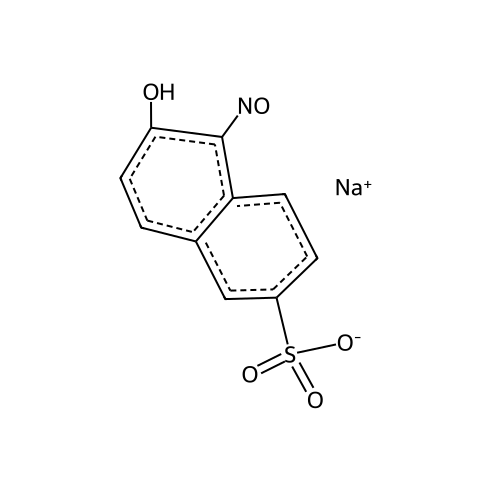 O=Nc1c(O)ccc2cc(S(=O)(=O)[O-])ccc12.[Na+]